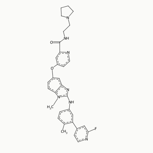 Cc1ccc(Nc2nc3cc(Oc4ccnc(C(=O)NCCN5CCCC5)c4)ccc3n2C)cc1-c1ccnc(F)c1